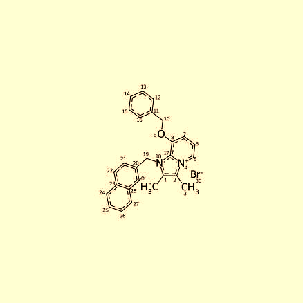 Cc1c(C)[n+]2cccc(OCc3ccccc3)c2n1Cc1ccc2ccccc2c1.[Br-]